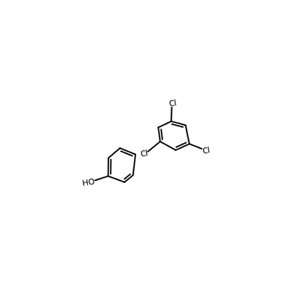 Clc1cc(Cl)cc(Cl)c1.Oc1ccccc1